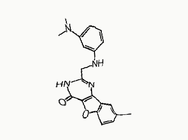 Cc1ccc2oc3c(=O)[nH]c(CNc4cccc(N(C)C)c4)nc3c2c1